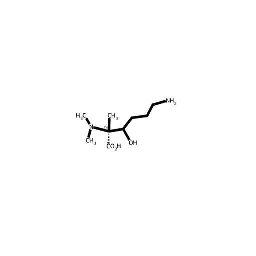 CN(C)[C@](C)(C(=O)O)C(O)CCCN